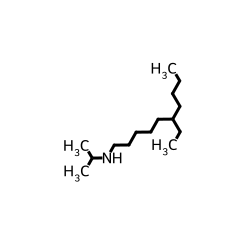 CCCCC(CC)CCCCCNC(C)C